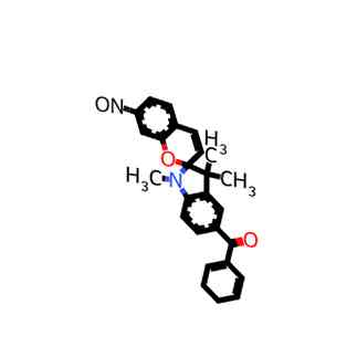 CN1c2ccc(C(=O)C3=CCCC=C3)cc2C(C)(C)C12C=Cc1ccc(N=O)cc1O2